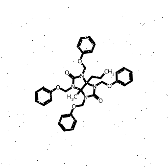 CCCC12N(COc3ccccc3)C(=O)N(COc3ccccc3)C1(C)N(COc1ccccc1)C(=O)N2COc1ccccc1